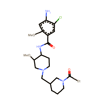 CCC(=O)N1CCCC(CN2CCC(NC(=O)c3cc(Cl)c(N)cc3OC)C(OC)C2)C1